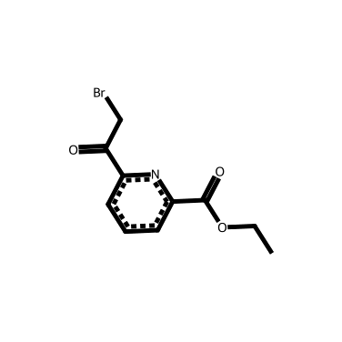 CCOC(=O)c1cccc(C(=O)CBr)n1